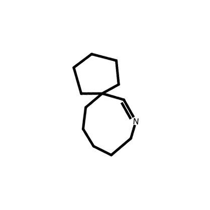 C1=NCCCCCC12CCCCC2